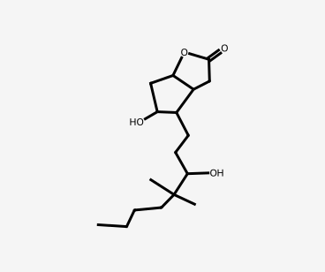 CCCCC(C)(C)C(O)CCC1C(O)CC2OC(=O)CC21